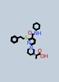 CC(C(=O)O)[C@@H]1CCCN(c2ccc(C(=O)NC3CCCCC3)c(SCCc3ccccc3)n2)C1